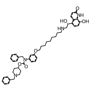 O=C(OC1CCN(Cc2ccccc2)CC1)N(Cc1ccccc1)c1cccc(OCCCCCCCCCNC[C@H](O)c2ccc(O)c3[nH]c(=O)ccc23)c1